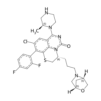 C[C@H]1CNCCN1c1nc(=O)n2c3c(c(-c4ccc(F)cc4F)c(Cl)cc13)SC[C@H]2CCCN1C[C@@H]2C[C@H]1CO2